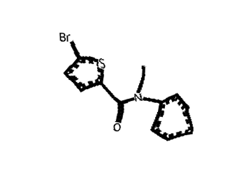 CN(C(=O)c1ccc(Br)s1)c1ccccc1